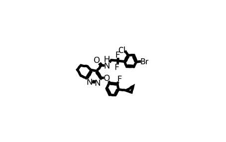 O=C(NCC(F)(F)c1ccc(Br)cc1Cl)c1c(Oc2cccc(C3CC3)c2F)nnc2c1CCCC2